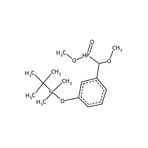 COC(c1cccc(O[Si](C)(C)C(C)(C)C)c1)[PH](=O)OC